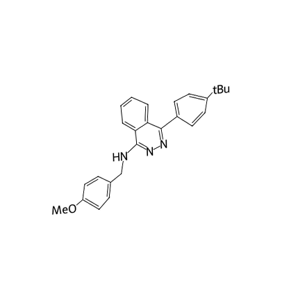 COc1ccc(CNc2nnc(-c3ccc(C(C)(C)C)cc3)c3ccccc23)cc1